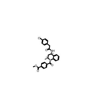 COC(=O)c1ccc(C(=O)N2c3ccccc3[C@H](NC(=O)Cc3ccc(Cl)cc3)C[C@@H]2C)cc1